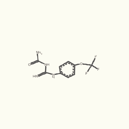 N=C(NC(N)=O)Nc1ccc(OC(F)(F)F)cc1